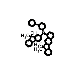 CC1(C)c2ccccc2-c2ccc(N(c3cccc(-c4ccccc4)c3)c3cccc4cc5c(cc34)C(C)(C)c3ccccc3-5)cc21